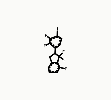 Fc1cccc2c1C(F)(F)C(c1ccc(I)c(F)c1F)C2